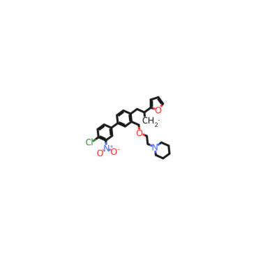 [CH2]C(Cc1ccc(-c2ccc(Cl)c([N+](=O)[O-])c2)cc1COCCN1CCCCC1)c1ccco1